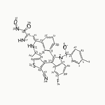 Cc1ccc([S+]([O-])n2c(-c3cccc(/C(=C/C(=N)C(=O)N=O)NC(C)C)c3)c(-c3ccsc3C#N)c3cc(F)ccc32)cc1